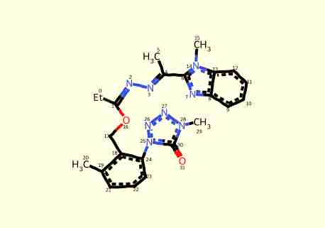 CCC(=NN=C(C)c1nc2ccccc2n1C)OCc1c(C)cccc1-n1nnn(C)c1=O